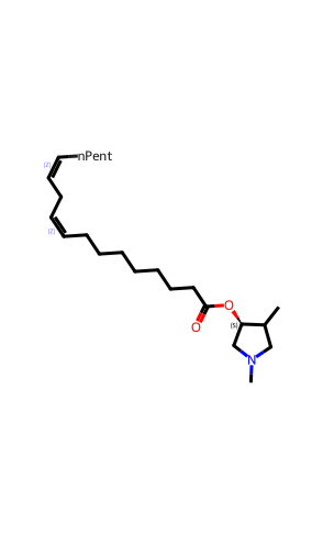 CCCCC/C=C\C/C=C\CCCCCCCC(=O)O[C@@H]1CN(C)CC1C